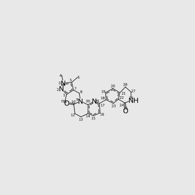 Cc1nn(C)c(C)c1CN1C(=O)CCc2ccc(-c3ccc4c(c3)C(=O)NCC4)nc21